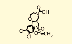 C=CS(=O)(=O)NC[C@@H]1CN(C(=O)O)CCO[C@H]1c1ccc(Cl)c(Cl)c1